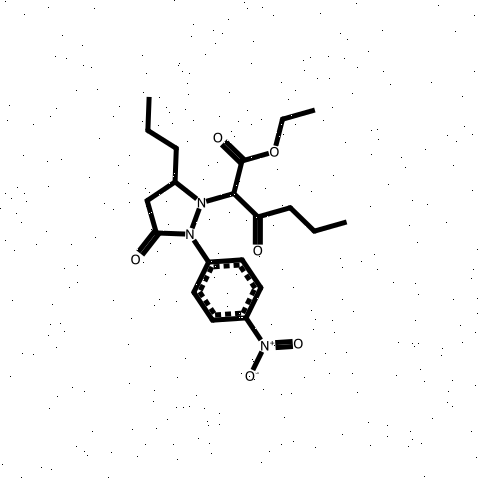 CCCC(=O)C(C(=O)OCC)N1C(CCC)CC(=O)N1c1ccc([N+](=O)[O-])cc1